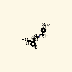 COc1ccc(CC(=O)O)c(C(=O)OC(=O)/C=C/C(O)c2ccc([N+](=O)[O-])cc2)c1